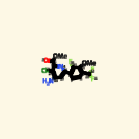 COC(=O)c1nc(-c2ccc(C(F)F)c(OC)c2F)cc(N)c1Cl